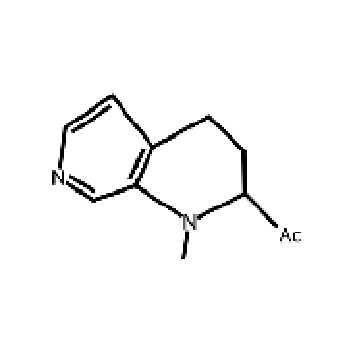 CC(=O)C1CCc2ccncc2N1C